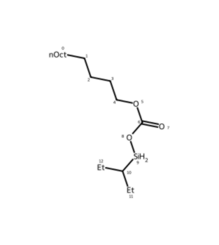 CCCCCCCCCCCCOC(=O)O[SiH2]C(CC)CC